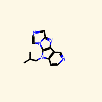 CC(C)Cn1c2ccncc2c2nc3cnccn3c21